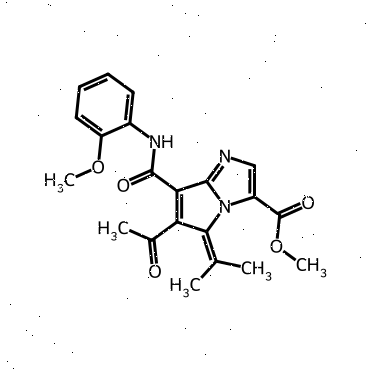 COC(=O)c1cnc2c(C(=O)Nc3ccccc3OC)c(C(C)=O)c(=C(C)C)n12